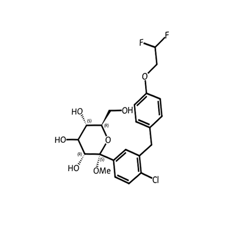 CO[C@@]1(c2ccc(Cl)c(Cc3ccc(OCC(F)F)cc3)c2)O[C@H](CO)[C@@H](O)C(O)[C@H]1O